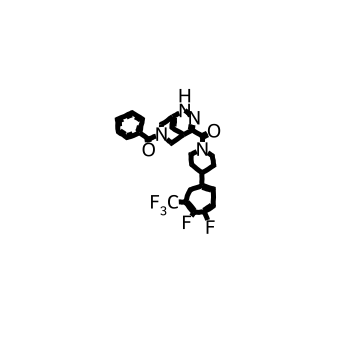 O=C(C1=NNC2=CC1CN(C(=O)c1ccccc1)C2)N1CCC(C2=CC=C(F)C(F)=C(C(F)(F)F)C2)CC1